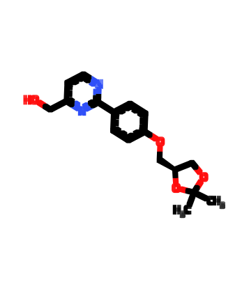 CC1(C)OC[C@H](COc2ccc(-c3nccc(CO)n3)cc2)O1